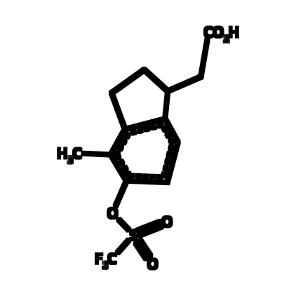 Cc1c(OS(=O)(=O)C(F)(F)F)ccc2c1CCC2CC(=O)O